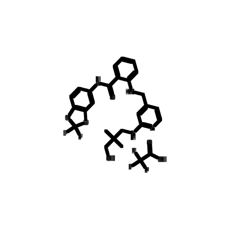 CC(C)(CO)CNc1cc(CNc2ccccc2C(=O)Nc2ccc3c(c2)OC(F)(F)O3)ccn1.O=C(O)C(F)(F)F